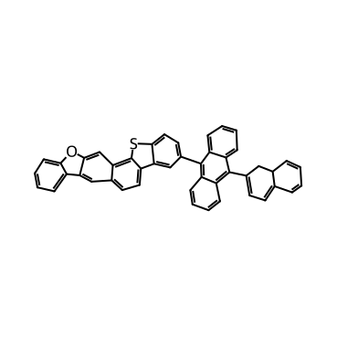 C1=CC2=CC=C(c3c4ccccc4c(-c4ccc5sc6c7cc8oc9ccccc9c8cc7ccc6c5c4)c4ccccc34)CC2C=C1